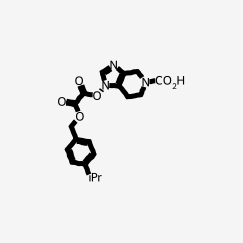 CC(C)c1ccc(COC(=O)C(=O)On2cnc3c2CCN(C(=O)O)C3)cc1